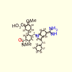 CNC(=O)c1ccc(Cn2cc(Cc3ccccc3)c3cc(C(=N)N)ccc32)c(-c2ccc(OC)c(C(=O)O)c2)c1